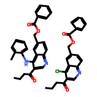 CCCC(=O)c1cnc2ccc(COC(=O)c3ccccc3)cc2c1Cl.CCCC(=O)c1cnc2ccc(COC(=O)c3ccccc3)cc2c1Nc1ccccc1C